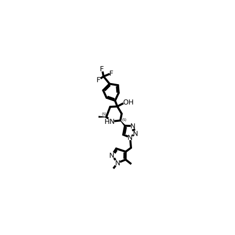 Cc1c(Cn2cc([C@@H]3CC(O)(c4ccc(C(F)(F)F)cc4)C[C@H](C)N3)nn2)cnn1C